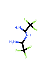 NC(NC(N)C(F)(F)F)C(F)(F)F